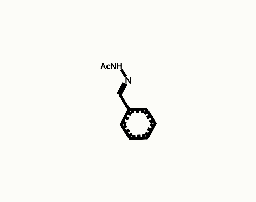 CC(=O)NN=Cc1ccccc1